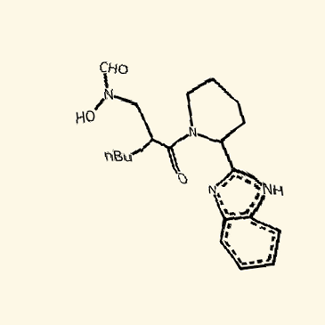 CCCCC(CN(O)C=O)C(=O)N1CCCCC1c1nc2ccccc2[nH]1